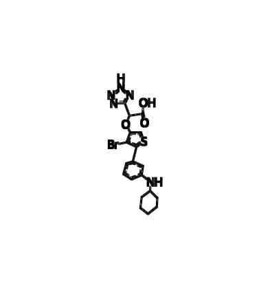 O=C(O)C(Oc1csc(-c2cccc(NC3CCCCC3)c2)c1Br)c1nn[nH]n1